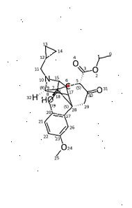 CCOC(=O)[C@H]1C[C@@]2(O)[C@@H]3N(CC4CC4)C4CC5C43Cc3ccc(OC)cc3[C@]52CC1=O